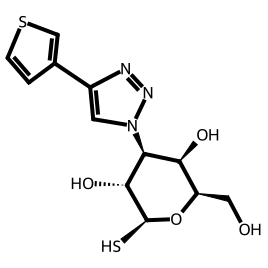 OC[C@H]1O[C@@H](S)[C@H](O)[C@@H](n2cc(-c3ccsc3)nn2)[C@H]1O